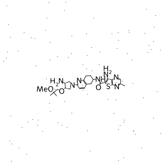 COC(C)(C)COC1CN(c2ccc3c(n2)CCC(NC(=O)c2sc4nc(C)cnc4c2N)C3)CC1N